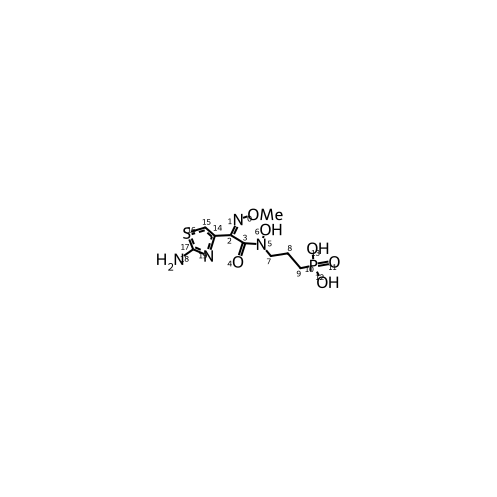 CON=C(C(=O)N(O)CCCP(=O)(O)O)c1csc(N)n1